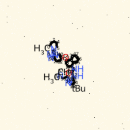 C[C@H]1CCCCN1c1nnc2ccc(O[C@@H]3CC[C@H](NC(=O)Nc4cc(C(C)(C)C)nn4CCN(C)C)c4ccccc43)cn12